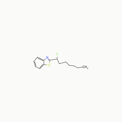 CCCCCCC(F)c1nc2ccccc2s1